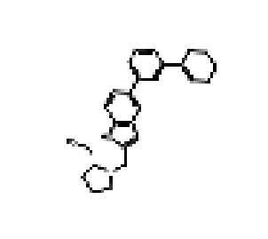 OC[C@H]1CCCN1Cc1cc2cc(-c3cc(C4=CCCCC4)ccn3)ccc2[nH]1